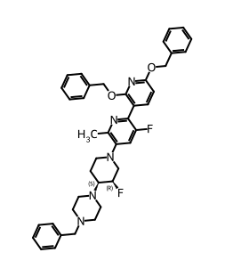 Cc1nc(-c2ccc(OCc3ccccc3)nc2OCc2ccccc2)c(F)cc1N1CC[C@H](N2CCN(Cc3ccccc3)CC2)[C@H](F)C1